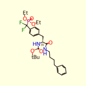 CCOP(=O)(OCC)C(F)(F)c1ccc(C[C@H](NC(=O)OC(C)(C)C)C(=O)NCCCCc2ccccc2)cc1